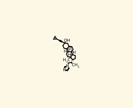 C=C(Cn1ccnc1)[C@H]1CC[C@H]2[C@@H]3CC=C4C[C@@](O)(C#CC5CC5)CC[C@@H]4[C@H]3CC[C@]12C